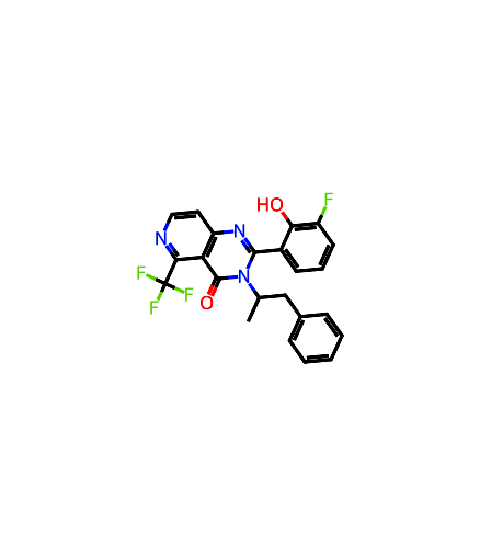 CC(Cc1ccccc1)n1c(-c2cccc(F)c2O)nc2ccnc(C(F)(F)F)c2c1=O